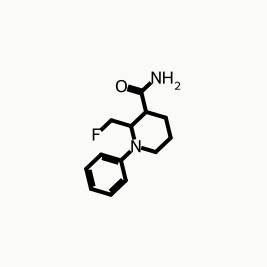 NC(=O)C1CCCN(c2ccccc2)C1CF